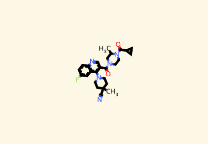 CC1CN(C(=O)c2cnc3ccc(F)cc3c2N2CCC(C)(C#N)CC2)CCN1C(=O)C1CC1